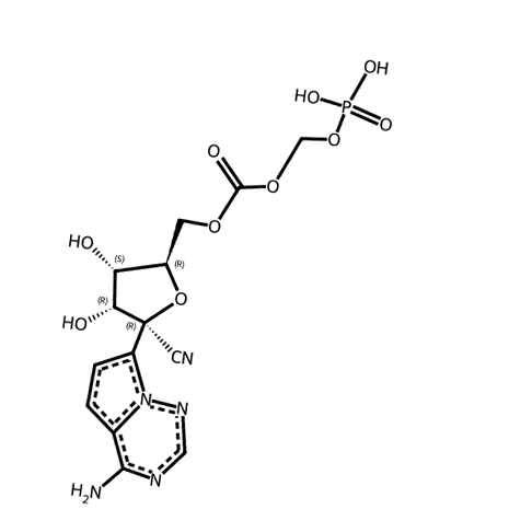 N#C[C@@]1(c2ccc3c(N)ncnn23)O[C@H](COC(=O)OCOP(=O)(O)O)[C@@H](O)[C@H]1O